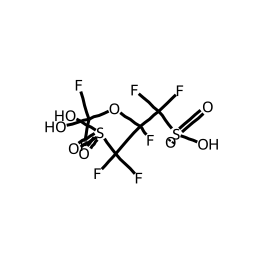 O=S(=O)(O)C(F)(F)C(F)(OC(O)(F)F)C(F)(F)S(=O)(=O)O